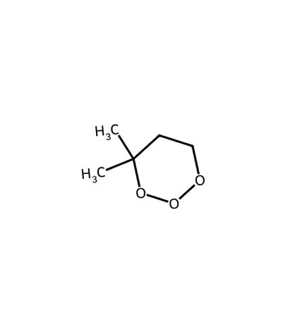 CC1(C)CCOOO1